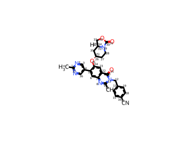 Cc1ncc(-c2cc3nc(C)n(Cc4ccc(C#N)cc4)c(=O)c3cc2O[C@H]2CCN3C(=O)OC[C@@H]3C2)cn1